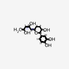 C=C(O)/C=C(O)\C=C1/CC[C@@H](O)[C@@H](c2ccc(O)c(O)c2)O1